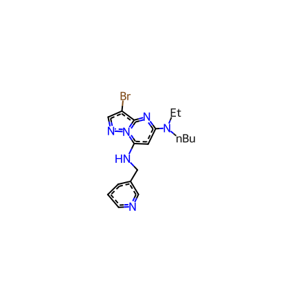 CCCCN(CC)c1cc(NCc2cccnc2)n2ncc(Br)c2n1